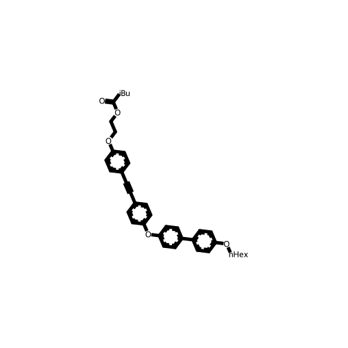 CCCCCCOc1ccc(-c2ccc(Oc3ccc(C#Cc4ccc(OCCOC(=O)C(C)CC)cc4)cc3)cc2)cc1